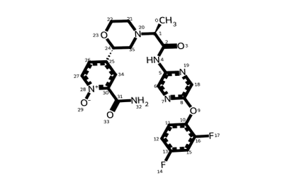 C[C@@H](C(=O)Nc1cnc(Oc2ccc(F)cc2F)cn1)N1CCO[C@@H](c2cc[n+]([O-])c(C(N)=O)c2)C1